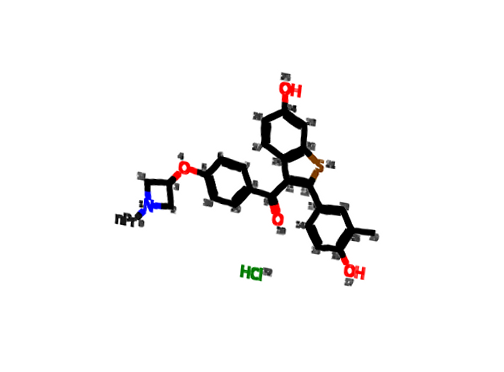 CCCN1CC(Oc2ccc(C(=O)c3c(-c4ccc(O)c(C)c4)sc4cc(O)ccc34)cc2)C1.Cl